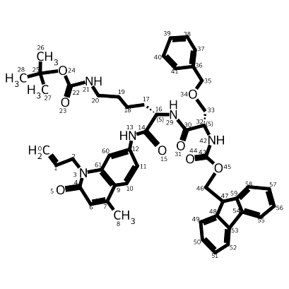 C=CCn1c(=O)cc(C)c2ccc(NC(=O)[C@H](CCCCNC(=O)OC(C)(C)C)NC(=O)[C@H](COCc3ccccc3)NC(=O)OCC3c4ccccc4-c4ccccc43)cc21